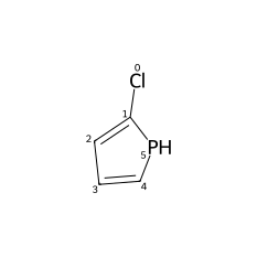 Clc1ccc[pH]1